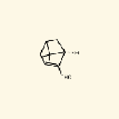 CC1(C)C2CC=C(C=O)[C@@H]1C2